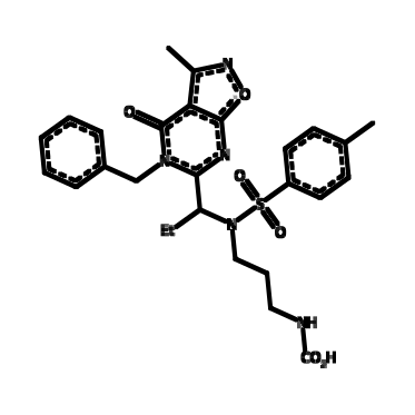 CCC(c1nc2onc(C)c2c(=O)n1Cc1ccccc1)N(CCCNC(=O)O)S(=O)(=O)c1ccc(C)cc1